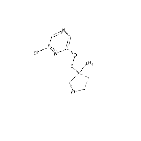 CC1(COc2cncc(Cl)n2)CCOC1